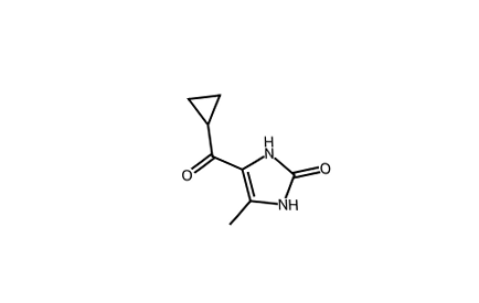 Cc1[nH]c(=O)[nH]c1C(=O)C1CC1